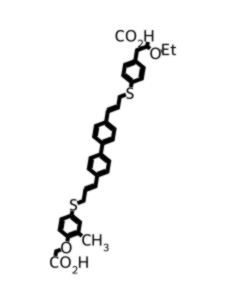 CCOC(Cc1ccc(SC/C=C/c2ccc(-c3ccc(/C=C/CSc4ccc(OCC(=O)O)c(C)c4)cc3)cc2)cc1)C(=O)O